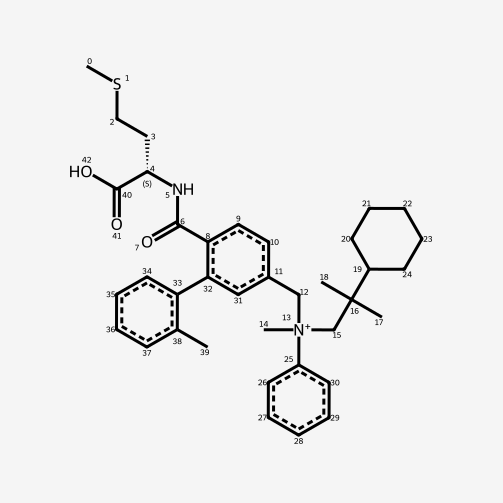 CSCC[C@H](NC(=O)c1ccc(C[N+](C)(CC(C)(C)C2CCCCC2)c2ccccc2)cc1-c1ccccc1C)C(=O)O